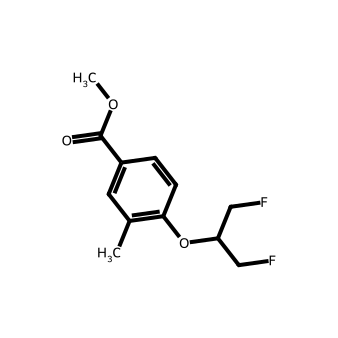 COC(=O)c1ccc(OC(CF)CF)c(C)c1